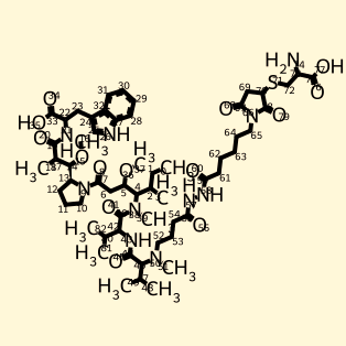 CCC(C)C(C(CC(=O)N1CCC[C@H]1C(OC)C(C)C(=O)NC(Cc1c[nH]c2ccccc12)C(=O)O)OC)N(C)C(=O)C(NC(=O)C(C(C)C)N(C)CCCC(=O)NNC(=O)CCCCCN1C(=O)CC(SCC(N)C(=O)O)C1=O)C(C)C